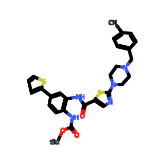 [C-]#[N+]c1ccc(CN2CCN(c3ncc(C(=O)Nc4cc(-c5cccs5)ccc4NC(=O)OC(C)(C)C)s3)CC2)cc1